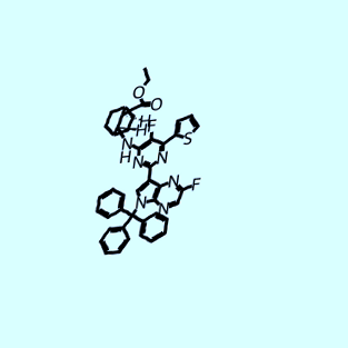 CCOC(=O)[C@@H]1C2CCC(CC2)[C@H]1Nc1nc(-c2cn(C(c3ccccc3)(c3ccccc3)c3ccccc3)c3ncc(F)nc23)nc(-c2cccs2)c1F